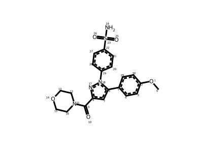 COc1ccc(-c2cc(C(=O)N3CCOCC3)nn2-c2ccc(S(N)(=O)=O)cc2)cc1